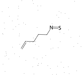 C=CCCCN=S